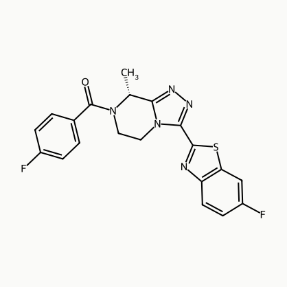 C[C@@H]1c2nnc(-c3nc4ccc(F)cc4s3)n2CCN1C(=O)c1ccc(F)cc1